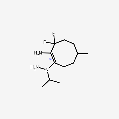 CC1CC/C(N(N)C(C)C)=C(/N)C(F)(F)CC1